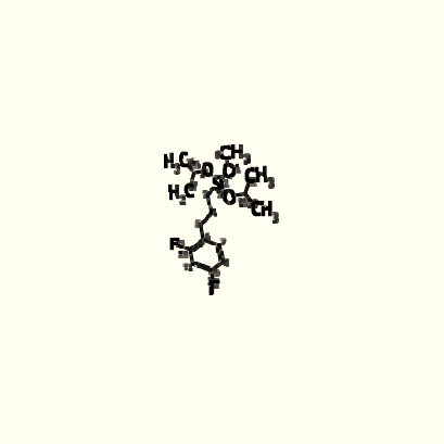 CO[Si](CCCc1ccc(F)cc1F)(OC(C)C)OC(C)C